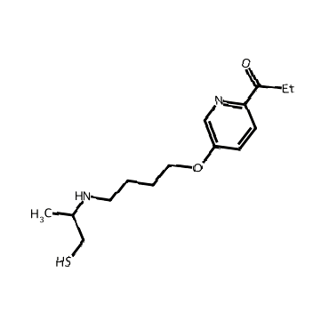 CCC(=O)c1ccc(OCCCCNC(C)CS)cn1